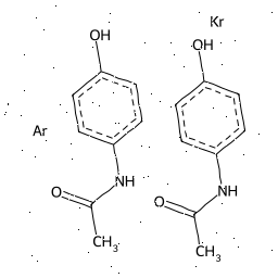 CC(=O)Nc1ccc(O)cc1.CC(=O)Nc1ccc(O)cc1.[Ar].[Kr]